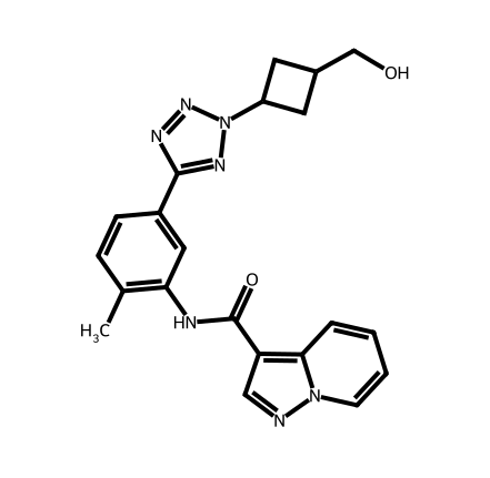 Cc1ccc(-c2nnn(C3CC(CO)C3)n2)cc1NC(=O)c1cnn2ccccc12